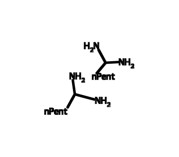 CCCCCC(N)N.CCCCCC(N)N